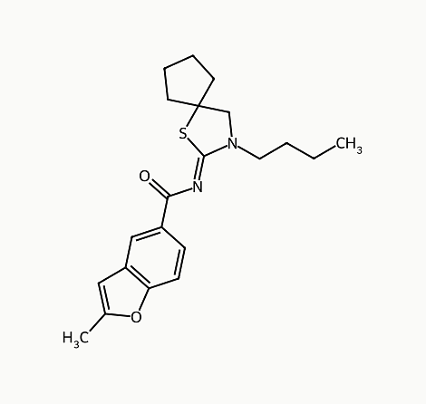 CCCCN1CC2(CCCC2)S/C1=N\C(=O)c1ccc2oc(C)cc2c1